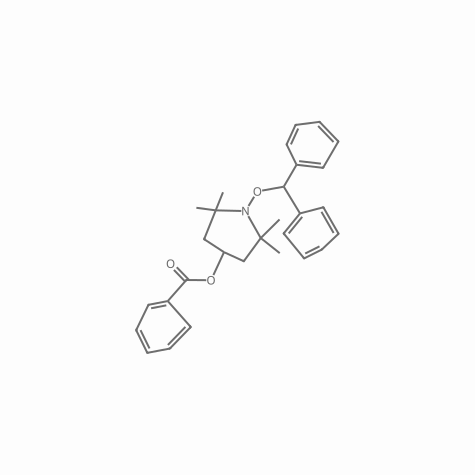 CC1(C)CC(OC(=O)c2ccccc2)CC(C)(C)N1OC(c1ccccc1)c1ccccc1